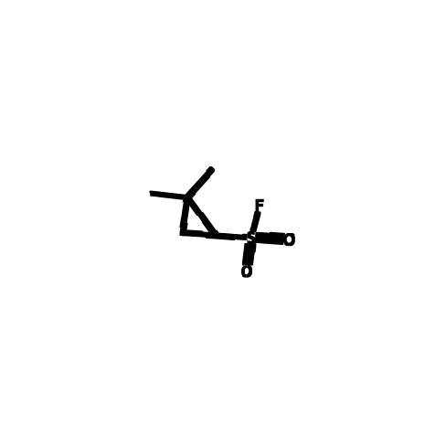 CC1(C)CC1S(=O)(=O)F